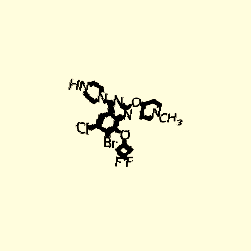 CN1CCC(Oc2nc(N3CCNCC3)c3cc(Cl)c(Br)c(OC4CC(F)(F)C4)c3n2)CC1